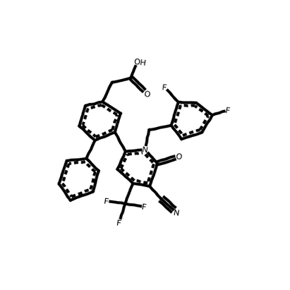 N#Cc1c(C(F)(F)F)cc(-c2cc(CC(=O)O)ccc2-c2ccccc2)n(Cc2ccc(F)cc2F)c1=O